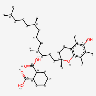 Cc1c(C)c2c(c(C)c1O)CC[C@@](C)(CCC[C@H](C)CCC[C@H](C)CCCC(C)C)O2.O=C(O)C1CCCCC1C(=O)O